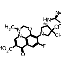 CN1COc2c(N3C[C@H](Nc4nccs4)C(C)(C)C3)c(F)cc3c(=O)c(C(=O)O)cn1c23